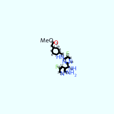 COC(=O)CC1CCCC(CNc2nc(C(=N)c3cc(F)cnc3N)ncc2F)CC1